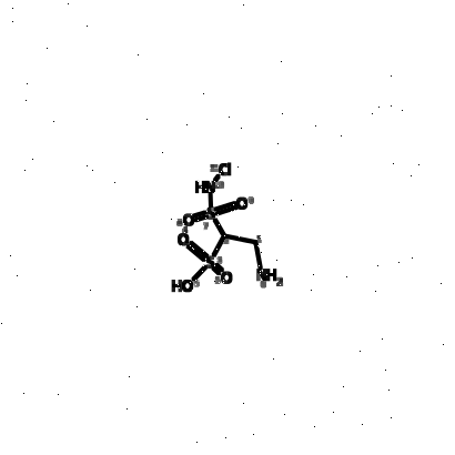 NCC(S(=O)(=O)O)S(=O)(=O)NCl